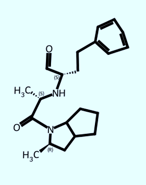 C[C@H](N[C@H](C=O)CCc1ccccc1)C(=O)N1C2CCCC2C[C@H]1C